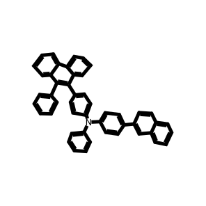 c1ccc(-c2c(-c3ccc(N(c4ccccc4)c4ccc(-c5ccc6ccccc6c5)cc4)cc3)c3ccccc3c3ccccc23)cc1